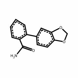 NC(=O)c1ccccc1-c1ccc2c(c1)OCO2